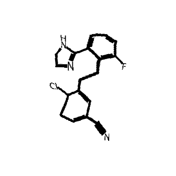 N#CC1=CCC(Cl)C(CCc2c(F)cccc2C2=NCCN2)=C1